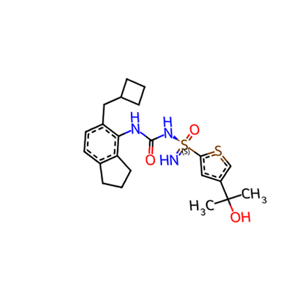 CC(C)(O)c1csc([S@](=N)(=O)NC(=O)Nc2c(CC3CCC3)ccc3c2CCC3)c1